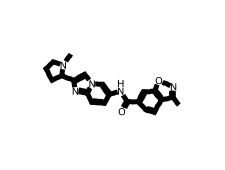 Cc1noc2cc(C(=O)Nc3ccc4nc(C5CCCN5C)cn4c3)ccc12